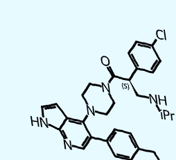 CC(C)NC[C@@H](C(=O)N1CCN(c2c(-c3ccc(CO)cc3)cnc3[nH]ccc23)CC1)c1ccc(Cl)cc1